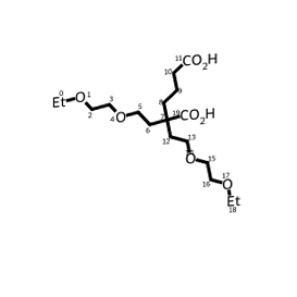 CCOCCOCCC(CCCC(=O)O)(CCOCCOCC)C(=O)O